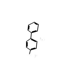 O=C(O)c1ccc(-c2ccccc2)cc1.[NaH]